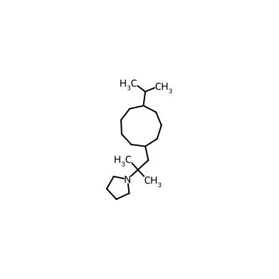 CC(C)C1CCCCC(CC(C)(C)N2CCCC2)CCC1